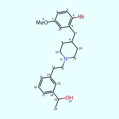 COc1ccc(Br)c(CC2CCN(CCc3cccc(C(C)O)c3)CC2)c1